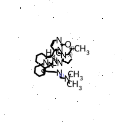 C[C@H](Oc1nccc(-c2nnn3c2CCCC32CCCc3sc(/N=C/N(C)C)c(C#N)c32)n1)[C@@H]1CCCN1C